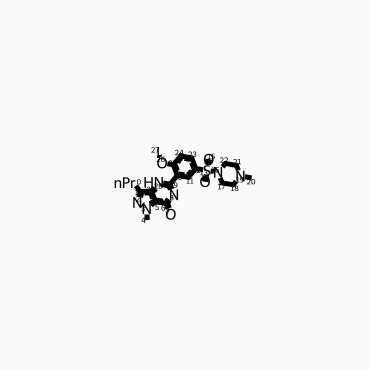 CCCc1nn(C)c2c(=O)nc(-c3cc(S(=O)(=O)N4CCN(C)CC4)ccc3OI)[nH]c12